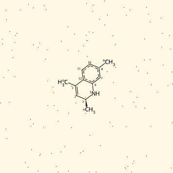 CC1=C[C@H](C)Nc2cc(C)ccc21